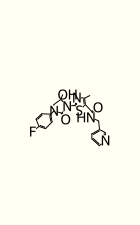 Cc1nc(N2C(=O)N(c3ccc(F)cc3)CC2O)sc1C(=O)NCc1cccnc1